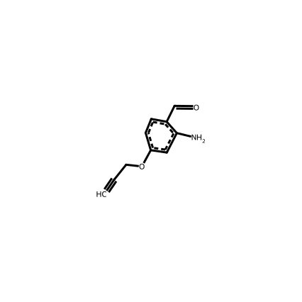 C#CCOc1ccc(C=O)c(N)c1